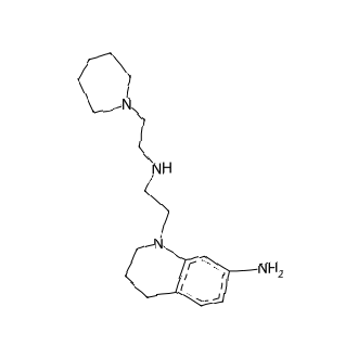 Nc1ccc2c(c1)N(CCNCCN1CCCCC1)CCC2